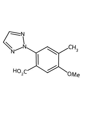 COc1cc(C(=O)O)c(-n2nccn2)cc1C